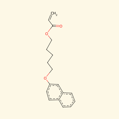 C=CC(=O)OCCCCCOc1ccc2ccccc2c1